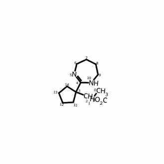 CC(=O)O.CC1(C2=NCCCCN2)CCCC1